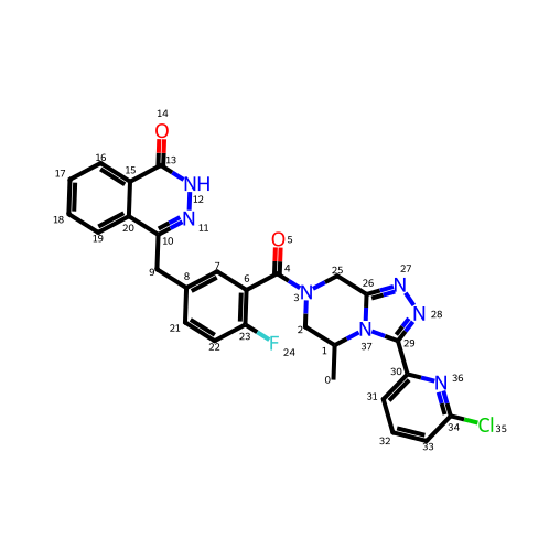 CC1CN(C(=O)c2cc(Cc3n[nH]c(=O)c4ccccc34)ccc2F)Cc2nnc(-c3cccc(Cl)n3)n21